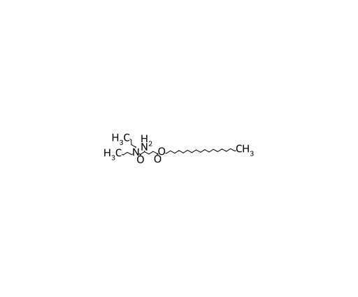 CCCCCCCCCCCCCCCCCCOC(=O)CC[C@H](N)C(=O)N(CCCC)CCCC